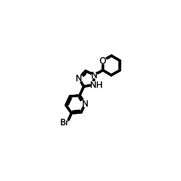 Brc1ccc(C2N=CN(C3CCCCO3)N2)nc1